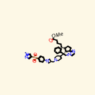 COC(=O)CCCC[C@H]1CCC[C@@H]1C(Cn1ccnc1)(c1ccccc1)C1CCN(CC2CN(c3ccc(S(=O)(=O)c4cnn(C)c4)cc3)C2)CC1